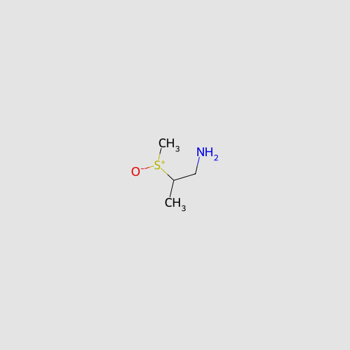 CC(CN)[S+](C)[O-]